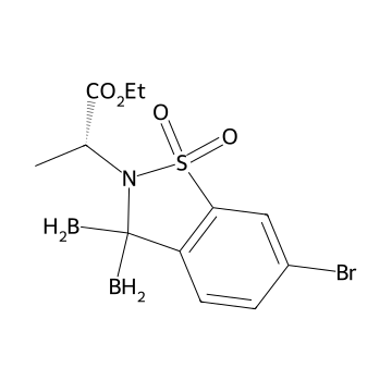 BC1(B)c2ccc(Br)cc2S(=O)(=O)N1[C@H](C)C(=O)OCC